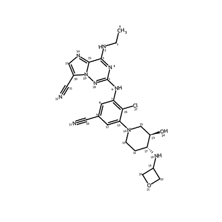 CCNc1nc(Nc2cc(C#N)cc(N3CC[C@@H](NC4COC4)[C@H](O)C3)c2Cl)nn2c(C#N)cnc12